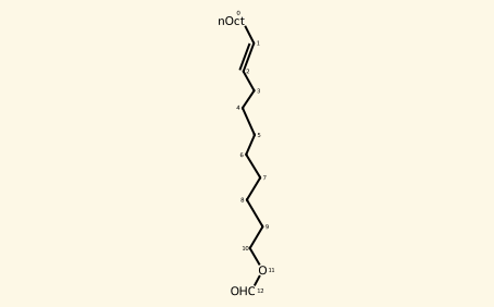 CCCCCCCCC=CCCCCCCCCOC=O